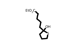 CCOC(=O)CCCCC1(O)CCCS1